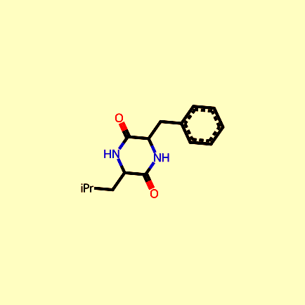 CC(C)CC1NC(=O)C(Cc2ccccc2)NC1=O